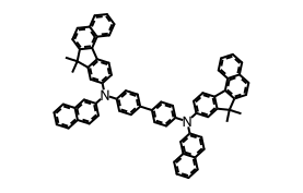 CC1(C)c2cc(N(c3ccc(-c4ccc(N(c5ccc6c(c5)C(C)(C)c5ccc7ccccc7c5-6)c5ccc6ccccc6c5)cc4)cc3)c3ccc4ccccc4c3)ccc2-c2c1ccc1ccccc21